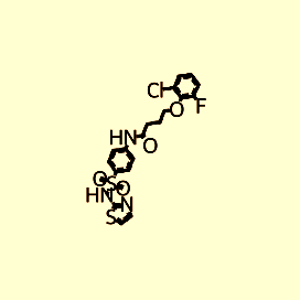 O=C(CCCOc1c(F)cccc1Cl)Nc1ccc(S(=O)(=O)Nc2nccs2)cc1